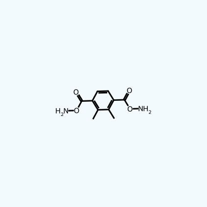 Cc1c(C(=O)ON)ccc(C(=O)ON)c1C